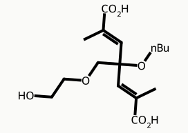 CCCCOC(C=C(C)C(=O)O)(C=C(C)C(=O)O)COCCO